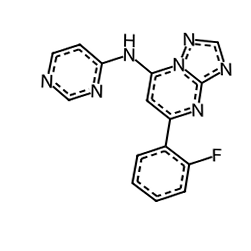 Fc1ccccc1-c1cc(Nc2ccncn2)n2ncnc2n1